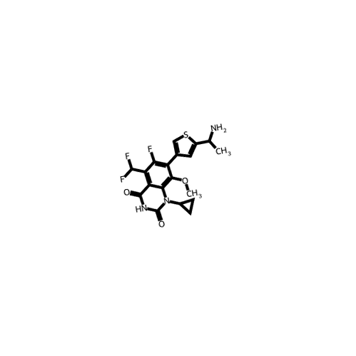 COc1c(-c2csc(C(C)N)c2)c(F)c(C(F)F)c2c(=O)[nH]c(=O)n(C3CC3)c12